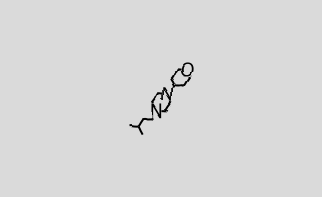 CC(C)CCN1CCN(C2CCOCC2)CC1